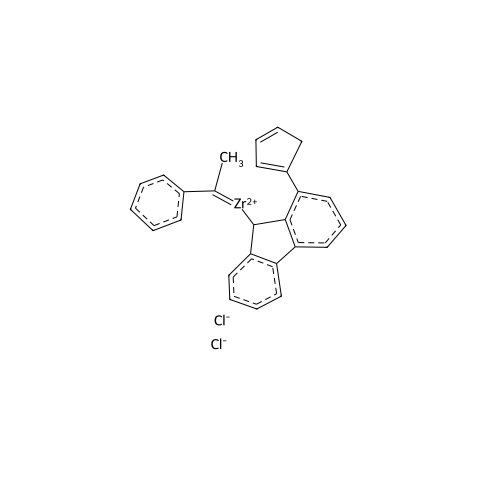 C/[C](=[Zr+2]\[CH]1c2ccccc2-c2cccc(C3=CC=CC3)c21)c1ccccc1.[Cl-].[Cl-]